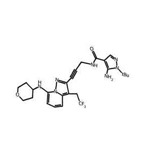 CC(C)(C)n1ncc(C(=O)NCC#Cc2nn3c(NC4CCOCC4)cccc3c2CC(F)(F)F)c1N